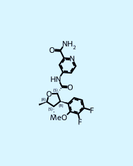 COc1c([C@H]2[C@H](C)[C@@H](C)O[C@@H]2C(=O)Nc2ccnc(C(N)=O)c2)ccc(F)c1F